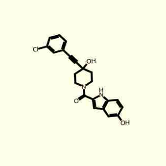 O=C(c1cc2cc(O)ccc2[nH]1)N1CCC(O)(C#Cc2cccc(Cl)c2)CC1